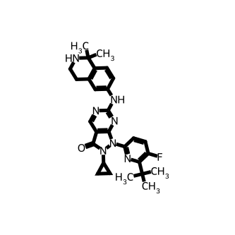 CC(C)(C)c1nc(-n2c3nc(Nc4ccc5c(c4)CCNC5(C)C)ncc3c(=O)n2C2CC2)ccc1F